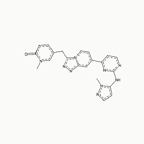 Cn1nccc1Nc1nccc(-c2ccn3c(Cc4ccc(=O)n(C)c4)nnc3c2)n1